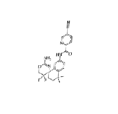 CC1(C)CCC2(N=C(N)OCC2(F)F)c2cc(NC(=O)c3ccc(C#N)cn3)ccc21